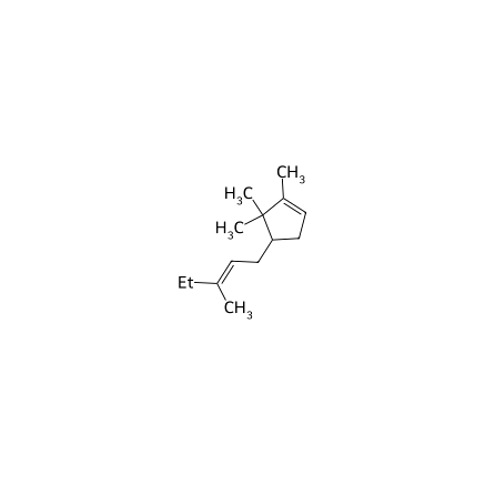 CCC(C)=CCC1CC=C(C)C1(C)C